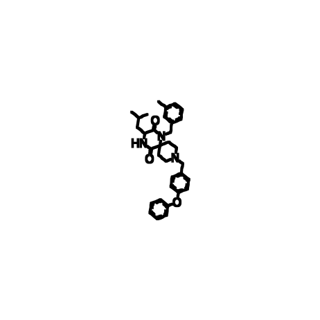 Cc1cccc(CN2C(=O)C(CC(C)C)NC(=O)C23CCN(Cc2ccc(Oc4ccccc4)cc2)CC3)c1